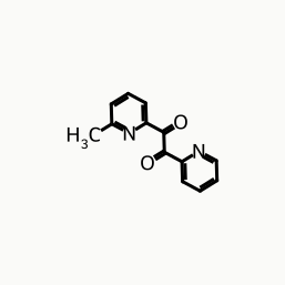 Cc1cccc(C(=O)C(=O)c2ccccn2)n1